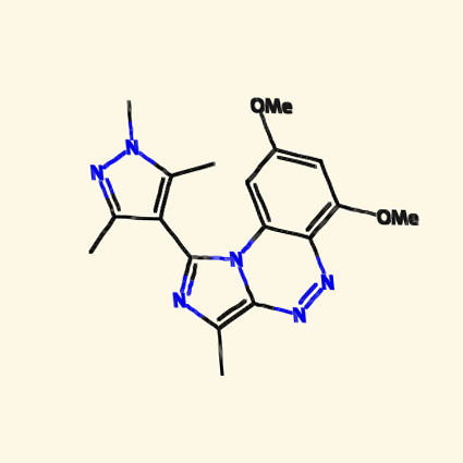 COc1cc(OC)c2nnc3c(C)nc(-c4c(C)nn(C)c4C)n3c2c1